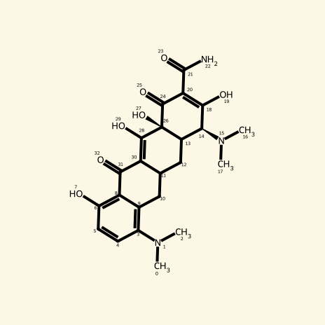 CN(C)c1ccc(O)c2c1CC1CC3[C@H](N(C)C)C(O)=C(C(N)=O)C(=O)[C@@]3(O)C(O)=C1C2=O